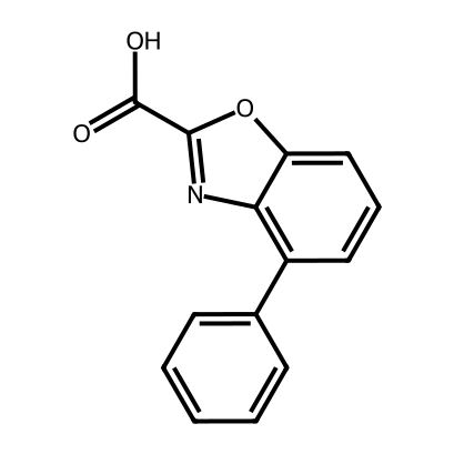 O=C(O)c1nc2c(-c3ccccc3)cccc2o1